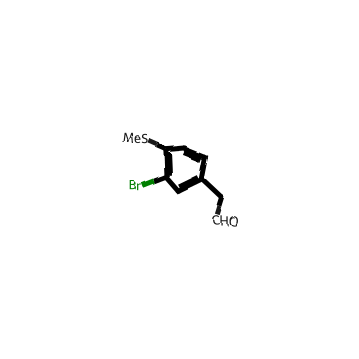 CSc1ccc(CC=O)cc1Br